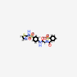 O=C(CN1C(=O)c2ccccc2S1(=O)=O)Nc1ccc(S(=O)(=O)Nc2nccs2)cc1